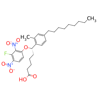 CCCCCCCCCc1ccc([C@H](CCCCC(=O)O)Oc2ccc([N+](=O)[O-])c(F)c2[N+](=O)[O-])c(C)c1